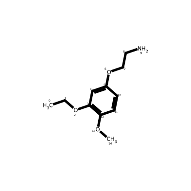 CCOc1cc(OCCN)ccc1OC